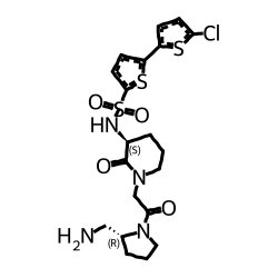 NC[C@H]1CCCN1C(=O)CN1CCC[C@H](NS(=O)(=O)c2ccc(-c3ccc(Cl)s3)s2)C1=O